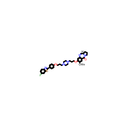 COc1cc2c(cc1OCCCN1CCN(CCCOc3ccc(-c4nc5ccc(F)cc5s4)cc3)CC1)N=C[C@@H]1CCCN1C2=O